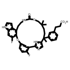 CC1(C)CCC(C)(c2cccc(CCC(=O)O)c2)c2cnc([nH]2)-c2cc(ccc2F)Oc2c(F)cc3[nH]ccc3c2CCNC(=O)OC1